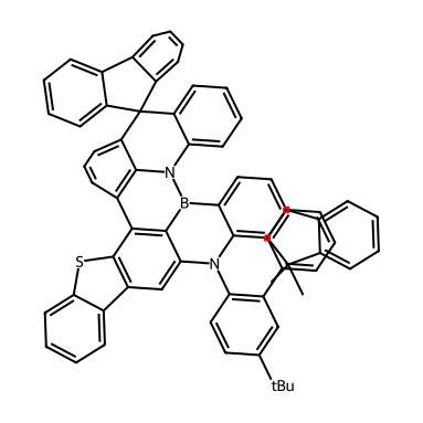 CC(C)(C)c1ccc(N2c3cc4c(sc5ccccc54)c4c3B(c3ccc5c(c32)C(C)(C)c2ccccc2-5)N2c3ccccc3C3(c5ccccc5-c5ccccc53)c3cccc-4c32)c(-c2ccccc2)c1